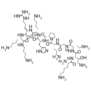 N=C(N)NCC/C=C(\NC(=O)[C@H](CCCCN)NC(=O)[C@H](Cc1cnc[nH]1)NC(=O)[C@@H]1CCCN1C(=O)[C@@H](CCCN)NC(=O)CNC(=O)[C@H](CCN)NC(=O)[C@@H](NC(=O)[C@@H](N)CCCCN)[C@@H](O)CN)C(=O)N[C@@H](CCCCN)C(=O)NCCCCN